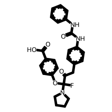 O=C(Nc1ccccc1)Nc1ccc(CC(=O)C(F)(Oc2ccc(C(=O)O)cc2)N2CCCC2)cc1